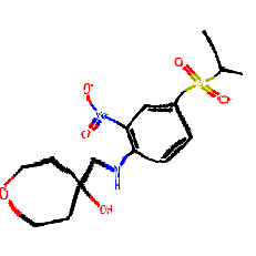 CC(C)S(=O)(=O)c1ccc(NCC2(O)CCOCC2)c([N+](=O)[O-])c1